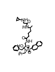 CC(C)CN(C(O)(CCNC(=O)CCCC(C)NC(=O)CNC1CC1)Cc1ccccc1)S(=O)(=O)c1ccc2ccccc2c1